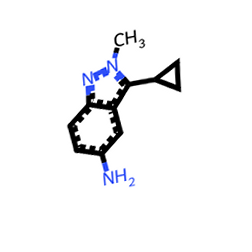 Cn1nc2ccc(N)cc2c1C1CC1